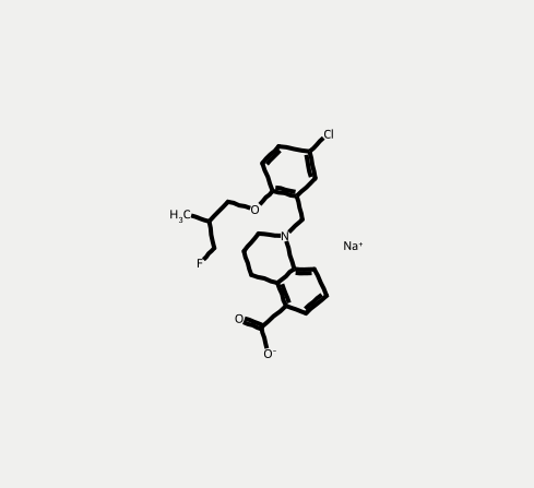 CC(CF)COc1ccc(Cl)cc1CN1CCCc2c(C(=O)[O-])cccc21.[Na+]